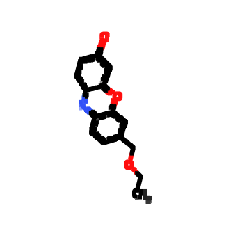 CCOCc1ccc2nc3ccc(=O)cc-3oc2c1